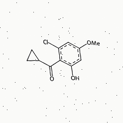 COc1cc(O)c(C(=O)C2CC2)c(Cl)c1